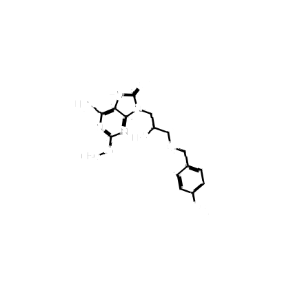 CCCCOc1nc(N)c2[nH]c(=O)n(CC(O)COCc3ccc(C(=O)O)cc3)c2n1